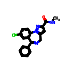 CNC(=O)c1cc2n(n1)-c1ccc(Cl)cc1C(c1ccccc1)=NC2